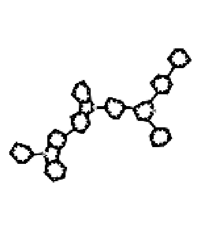 c1ccc(-c2ccc(-c3cc(-c4ccc(-n5c6ccccc6c6cc(-c7ccc8c(c7)c7ccccc7n8-c7ccccc7)ccc65)cc4)cc(-c4ccccc4)n3)cc2)cc1